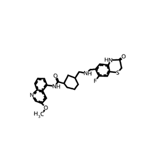 COc1cnc2cccc(NC(=O)C3CCCC(CNCc4cc5c(cc4F)SCC(=O)N5)C3)c2c1